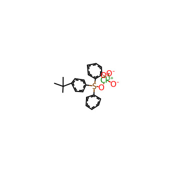 CC(C)(C)c1ccc(S(O[Cl+3]([O-])([O-])[O-])(c2ccccc2)c2ccccc2)cc1